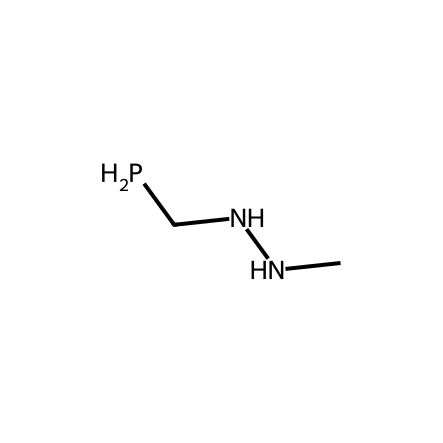 CNNCP